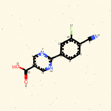 N#Cc1ccc(-c2ncc(C(=O)O)cn2)cc1F